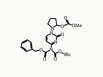 COC(=O)OC1CCCN1n1ccc(N(C(=O)OCc2ccccc2)C(=O)OC(C)(C)C)nc1=O